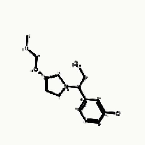 COCO[C@H]1CCN([C@@H](CO)c2cccc(Cl)c2)C1